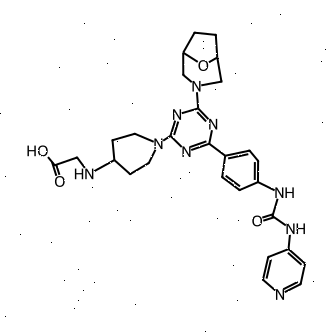 O=C(O)CNC1CCN(c2nc(-c3ccc(NC(=O)Nc4ccncc4)cc3)nc(N3CC4CCC(C3)O4)n2)CC1